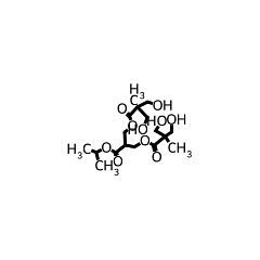 CC(C)OC(=O)C(COC(=O)C(C)(CO)CO)COC(=O)C(C)(CO)CO